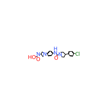 CN(C(=O)O)C1CN(c2ccc(NC(=O)N3CCC(c4ccc(Cl)cc4)CC3)cc2)C1